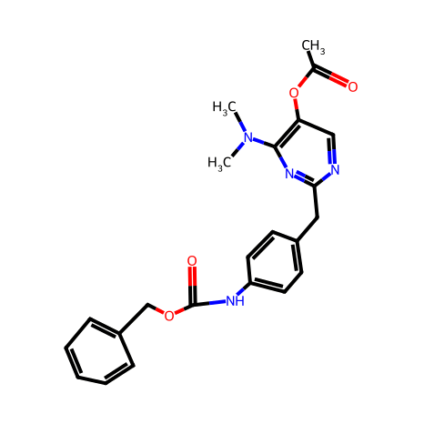 CC(=O)Oc1cnc(Cc2ccc(NC(=O)OCc3ccccc3)cc2)nc1N(C)C